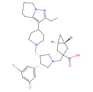 CCc1nn2c(c1C1CCN(C[C@@H]3CN(CC4(C(=O)O)C[C@H]5C[C@@H]5C4)C[C@@H]3c3cc(F)cc(F)c3)CC1)CCCC2